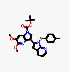 COc1cc2c(nc1OC)c(-c1cc3cccnc3n1Sc1ccc(C)cc1)cn2C(=O)OC(C)(C)C